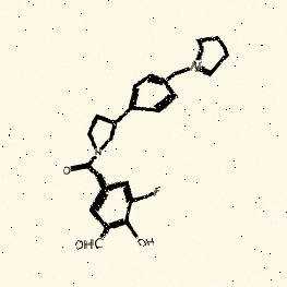 O=Cc1cc(C(=O)N2CCC(c3ccc(N4CCCC4)cc3)C2)cc(F)c1O